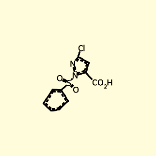 O=C(O)c1cc(Cl)nn1S(=O)(=O)c1ccccc1